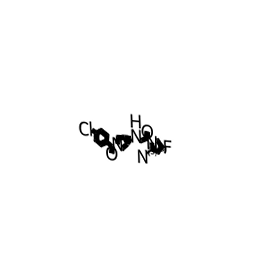 N#C[C@@H]1C[C@H](F)CN1C(=O)CNC1C2CN(C(=O)c3ccc(Cl)cc3)CC21